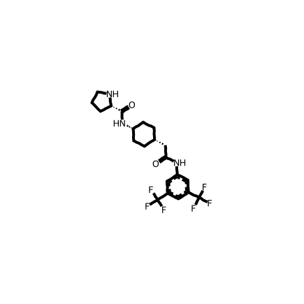 O=C(C[C@H]1CC[C@@H](NC(=O)[C@@H]2CCCN2)CC1)Nc1cc(C(F)(F)F)cc(C(F)(F)F)c1